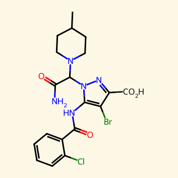 CC1CCN(C(C(N)=O)n2nc(C(=O)O)c(Br)c2NC(=O)c2ccccc2Cl)CC1